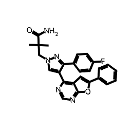 CC(C)(Cn1cc(-c2ncnc3oc(-c4ccccc4)cc23)c(-c2ccc(F)cc2)n1)C(N)=O